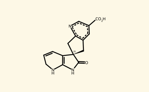 O=C(O)c1cnc2c(c1)C[C@@]1(C2)C(=O)NC2=C1C=CCN2